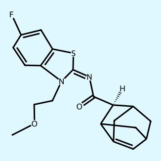 COCCn1c(=NC(=O)[C@H]2C3CC4=CC(C3)CC42)sc2cc(F)ccc21